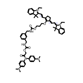 CCN1/C(=C/C=C2\CCC(/C=C/C3=[N+](CC)c4ccccc4C3(C)C)=C2OCCCOC(=O)NCc2cccc(CNC(=O)OCC(=O)N(c3ccc(N(C)C)cc3)c3ccc(N(C)C)cc3)c2)C(C)(C)c2ccccc21